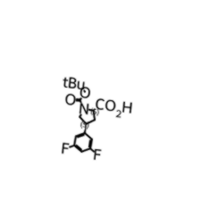 CC(C)(C)OC(=O)N1C[C@H](c2cc(F)cc(F)c2)C[C@H]1C(=O)O